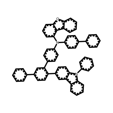 c1ccc(-c2ccc(N(c3ccc(-c4cc(-c5ccccc5)ccc4-c4ccc5c(c4)c4ccccc4n5-c4ccccc4)cc3)c3cccc4oc5ccccc5c34)cc2)cc1